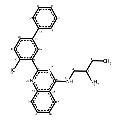 CCC(N)CNc1nc(-c2cc(-c3ccccc3)ccc2O)nc2ccccc12